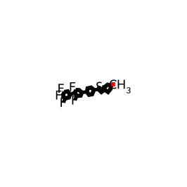 Cc1ccc2cc(-c3ccc(-c4cc(F)c(-c5cc(F)c(F)c(F)c5)c(F)c4)cc3)sc2c1